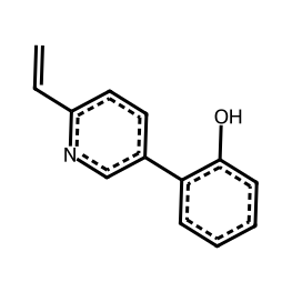 C=Cc1ccc(-c2ccccc2O)cn1